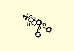 O=C1c2ccc(OCc3ccccc3)c(OCc3ccccc3)c2CCC1NC(=O)C(F)(F)F